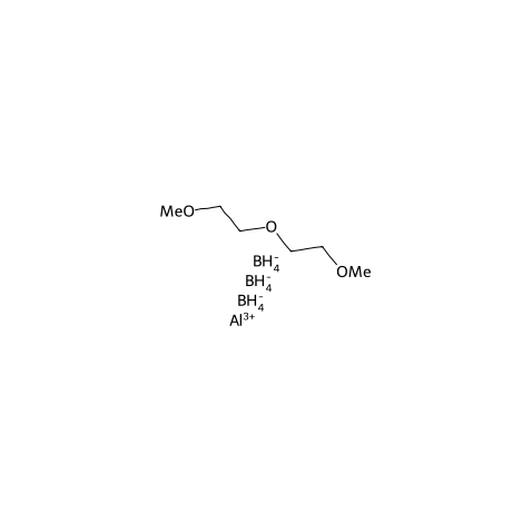 COCCOCCOC.[Al+3].[BH4-].[BH4-].[BH4-]